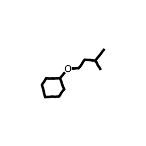 C[C](C)CCOC1CCCCC1